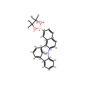 CC1(C)OB(c2ccc3ccc4c(c3c2)c2cccc3c5ccccc5n4c32)OC1(C)C